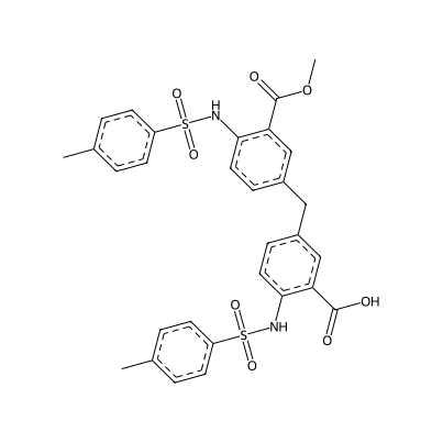 COC(=O)c1cc(Cc2ccc(NS(=O)(=O)c3ccc(C)cc3)c(C(=O)O)c2)ccc1NS(=O)(=O)c1ccc(C)cc1